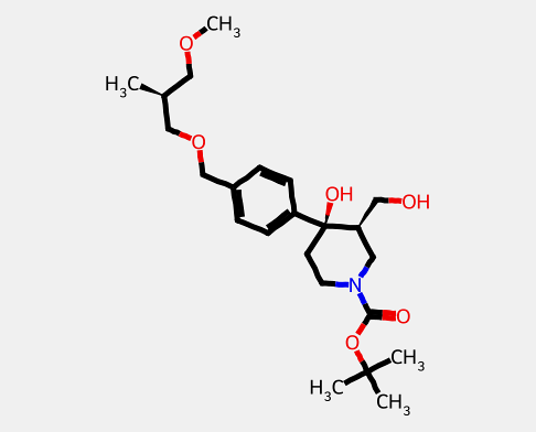 COC[C@H](C)COCc1ccc([C@@]2(O)CCN(C(=O)OC(C)(C)C)C[C@@H]2CO)cc1